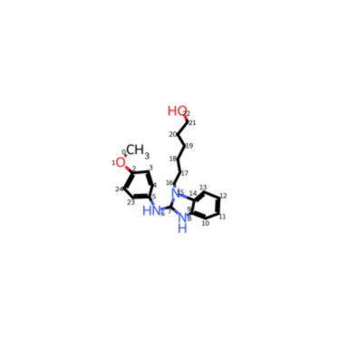 COc1ccc(NC2Nc3ccccc3N2CCCCCCO)cc1